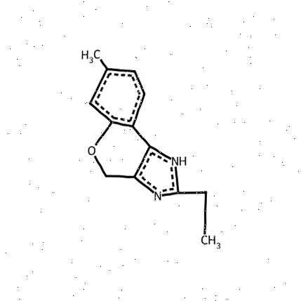 CCc1nc2c([nH]1)-c1ccc(C)cc1OC2